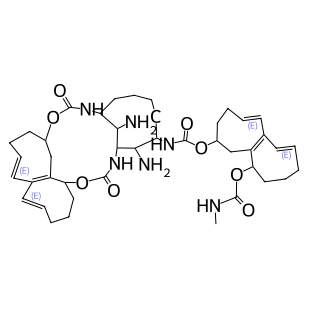 CNC(=O)OC1CCC/C=C/C2=C1CC(OC(=O)NC1CCCCC3NC(=O)OC4CC/C=C/C5=C(C4)C(CCC/C=C/5)OC(=O)NC(C1N)C3N)CC/C=C/2